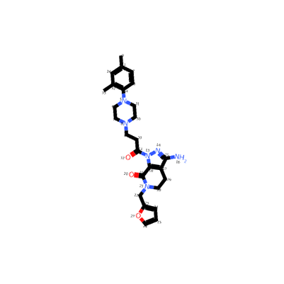 Cc1ccc(N2CCN(CCC(=O)n3nc(N)c4c3C(=O)N(Cc3ccco3)CC4)CC2)c(C)c1